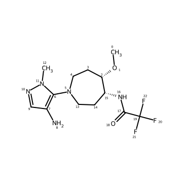 CO[C@H]1CCN(c2c(N)cnn2C)CC[C@H]1NC(=O)C(F)(F)F